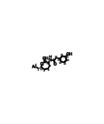 CC(=O)C[C@H]1C=CC[C@H](NC(=O)Cc2cccc(O)c2)B(O)O1